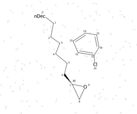 CCCCCCCCCCCCCCCC[C@@H]1CO1.Clc1ccccc1